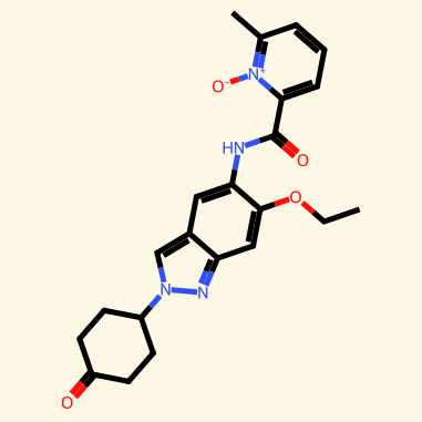 CCOc1cc2nn(C3CCC(=O)CC3)cc2cc1NC(=O)c1cccc(C)[n+]1[O-]